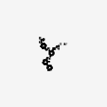 CC(=O)NCCNCc1ccc(OCc2cccc(-c3ccccc3)c2C)cc1OCc1ccc(OC(F)F)cc1